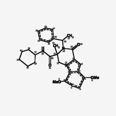 COc1ccc(OC)c2c1cc1n2CC(C)(C(=O)NC2CCCCC2)N(C(C)c2ccccc2)C1=O